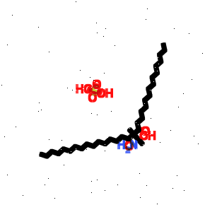 CCCCCCCCCCCCCCCC(=O)C(C)(C(=O)CCCCCCCCCCCCCCC)C(C)(N)O.O=S(=O)(O)O